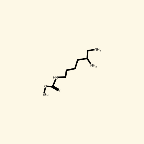 CC(C)(C)OC(=O)NCCCCC(N)CN